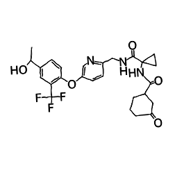 CC(O)c1ccc(Oc2ccc(CNC(=O)C3(NC(=O)C4CCCC(=O)C4)CC3)nc2)c(C(F)(F)F)c1